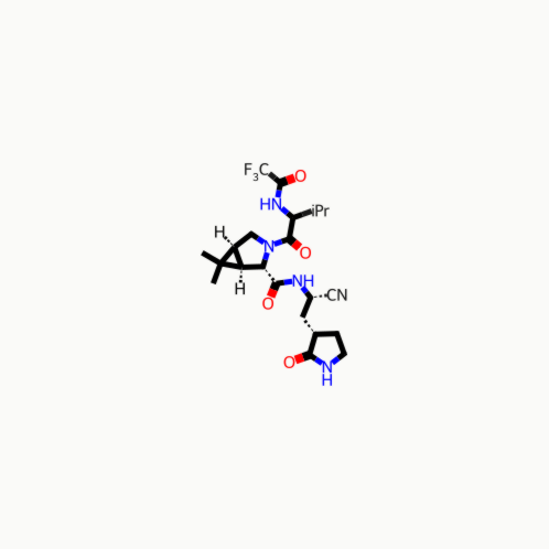 CC(C)C(NC(=O)C(F)(F)F)C(=O)N1C[C@H]2[C@@H]([C@H]1C(=O)N[C@H](C#N)C[C@@H]1CCNC1=O)C2(C)C